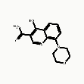 CC(=O)c1cnc2c(N3CCOCC3)cccc2c1O